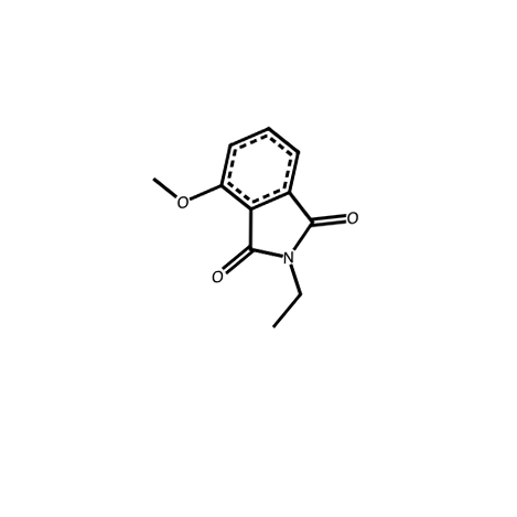 CCN1C(=O)c2cccc(OC)c2C1=O